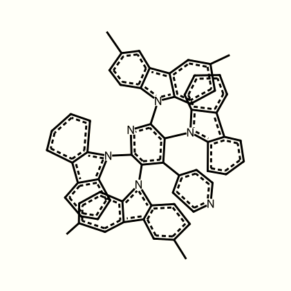 Cc1ccc2c(c1)c1cc(C)ccc1n2-c1nc(-n2c3ccccc3c3ccccc32)c(-n2c3ccc(C)cc3c3cc(C)ccc32)c(-c2ccncc2)c1-n1c2ccccc2c2ccccc21